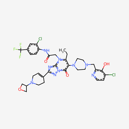 CCc1c(N2CCN(Cc3nccc(Cl)c3O)CC2)c(=O)n2nc(C3=CCN(C4COC4)CC3)nc2n1CC(=O)Nc1ccc(C(F)(F)F)cc1Cl